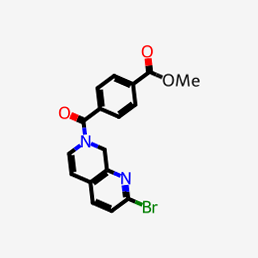 COC(=O)c1ccc(C(=O)N2C=Cc3ccc(Br)nc3C2)cc1